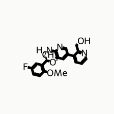 COc1ccc(F)cc1[C@@H](C)Oc1cc(-c2cccnc2CO)cnc1N